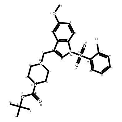 COc1ccc2c(c1)c(CN1CCN(C(=O)OC(C)(C)C)CC1)cn2S(=O)(=O)c1ccccc1I